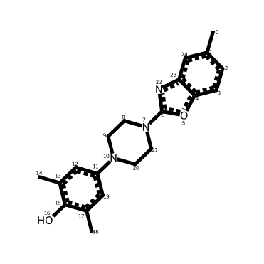 Cc1ccc2oc(N3CCN(c4cc(C)c(O)c(C)c4)CC3)nc2c1